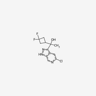 CC(O)(c1n[nH]c2cnc(Cl)cc12)C1CC(F)(F)C1